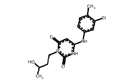 CCc1cc(Nc2cc(=O)n(CCC(C)O)c(=O)[nH]2)ccc1C